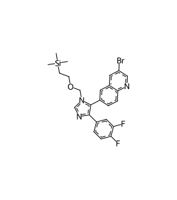 C[Si](C)(C)CCOCn1cnc(-c2ccc(F)c(F)c2)c1-c1ccc2ncc(Br)cc2c1